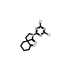 O=C1CCCCC12CCN(c1nc(Cl)nc(Cl)n1)C2=O